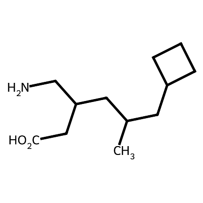 CC(CC1CCC1)CC(CN)CC(=O)O